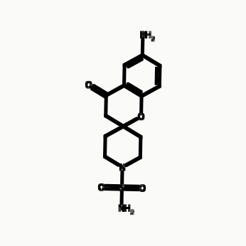 Bc1ccc2c(c1)C(=O)CC1(CCN(S(N)(=O)=O)CC1)O2